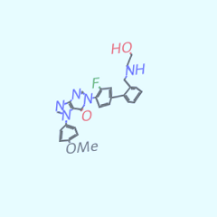 COc1ccc(-n2cnc3ncn(-c4ccc(-c5ccccc5CNCCO)cc4F)c(=O)c32)cc1